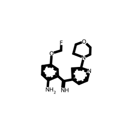 N=C(c1ccnc(N2CCOCC2)c1)c1cc(OCF)ccc1N